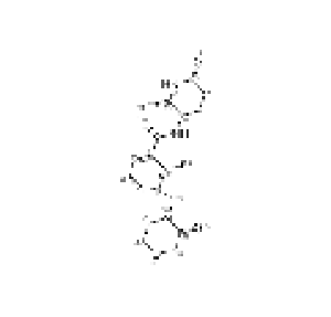 O=C1CCC(NC(=O)c2cccc(CN3CCOCC3=O)c2F)C(=O)N1